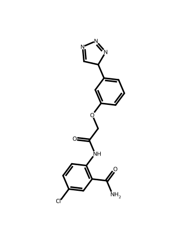 NC(=O)c1cc(Cl)ccc1NC(=O)COc1cccc(C2C=NN=N2)c1